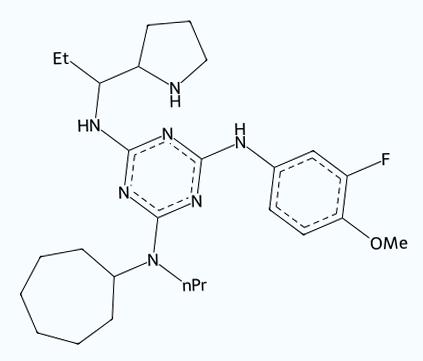 CCCN(c1nc(Nc2ccc(OC)c(F)c2)nc(NC(CC)C2CCCN2)n1)C1CCCCCC1